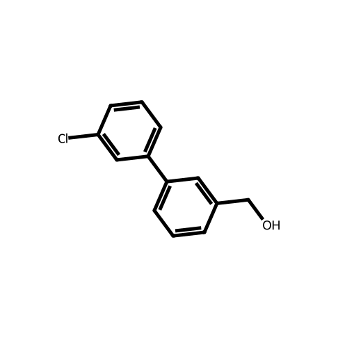 OCc1cccc(-c2cccc(Cl)c2)c1